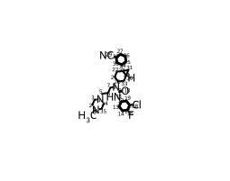 CN1CCN(CCCN(C(=O)Nc2ccc(F)c(Cl)c2)[C@H]2CC[C@@]3(c4cccc(C#N)c4)C[C@H]3C2)CC1